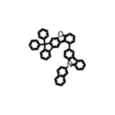 c1ccc(C2(c3ccccc3)c3ccccc3-c3cc4c(cc32)oc2cccc(-c3ccc5c(c3)c3ccccc3n5-c3ccc5ccccc5c3)c24)cc1